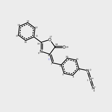 [N-]=[N+]=Nc1ccc(/C=C2/N=C(c3ccccc3)OC2=O)cc1